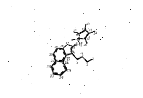 CCCCC1=[C]([Hf][C]2(C)C(C)=C(C)C(C)=C2C)Cc2ccc3ccccc3c21